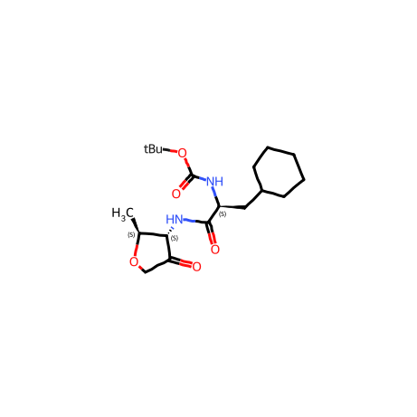 C[C@@H]1OCC(=O)[C@H]1NC(=O)[C@H](CC1CCCCC1)NC(=O)OC(C)(C)C